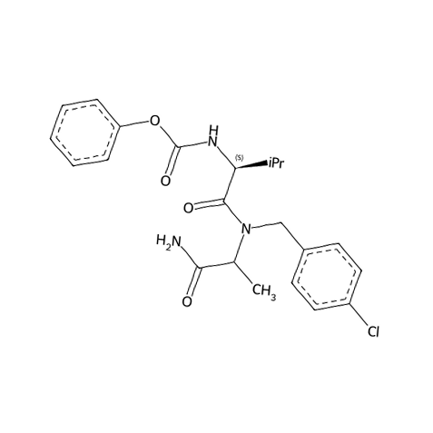 CC(C)[C@H](NC(=O)Oc1ccccc1)C(=O)N(Cc1ccc(Cl)cc1)C(C)C(N)=O